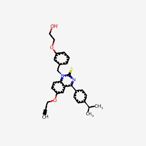 C#CCOc1ccc2c(c1)c(-c1ccc(C(C)C)cc1)nc(=S)n2Cc1cccc(OCCO)c1